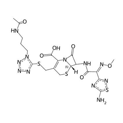 CON=C(C(=O)NC1C(=O)N2C(C(=O)O)=C(CSc3nnnn3CCCNC(C)=O)CS[C@@H]12)c1nsc(N)n1